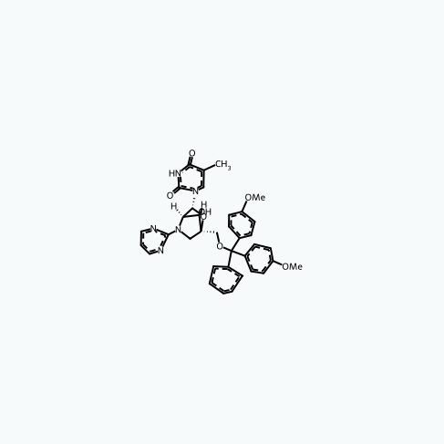 COc1ccc(C(OC[C@@]23CN(c4ncccn4)[C@@H]([C@H](n4cc(C)c(=O)[nH]c4=O)O2)[C@@H]3O)(c2ccccc2)c2ccc(OC)cc2)cc1